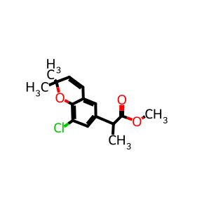 COC(=O)C(C)c1cc(Cl)c2c(c1)C=CC(C)(C)O2